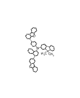 CC1(C)c2ccccc2-c2ccc(N(c3ccc(-c4cccc5c4oc4ccccc45)cc3)c3ccc(-c4ccc5sc6ccccc6c5c4)c4ccccc34)cc21